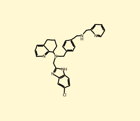 Clc1ccc2[nH]c(CN(Cc3ccc(CNCc4ccccn4)cc3)C3CCCc4cccnc43)nc2c1